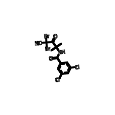 CC(C)(NC(=O)c1cc(Cl)cc(Cl)c1)C(=O)C(Br)(Br)C#N